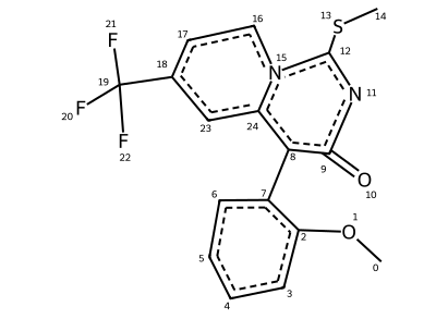 COc1ccccc1-c1c(=O)nc(SC)n2ccc(C(F)(F)F)cc12